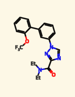 CCN(CC)C(=O)c1ncn(-c2cccc(-c3ccccc3OC(F)(F)F)c2)n1